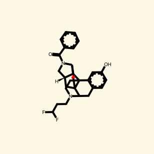 O=C(c1ccccc1)N1C[C@H]2CC34CCC1C2C31CCN(CCC(F)F)C4Cc2ccc(O)cc21